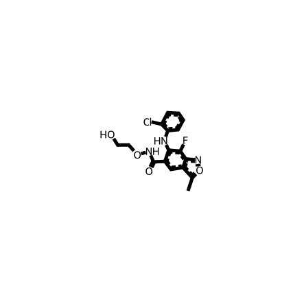 Cc1onc2c(F)c(Nc3ccccc3Cl)c(C(=O)NOCCO)cc12